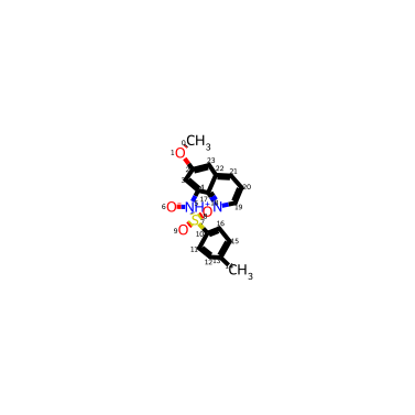 COc1cc([NH+]([O-])S(=O)(=O)c2ccc(C)cc2)c2ncccc2c1